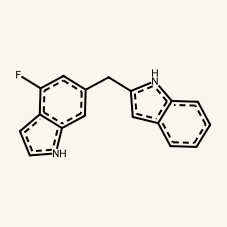 Fc1cc(Cc2cc3ccccc3[nH]2)cc2[nH]ccc12